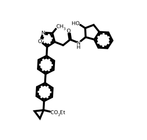 CCOC(=O)C1(c2ccc(-c3ccc(-c4onc(C)c4CC(=O)NC4c5ccccc5CC4O)cc3)cc2)CC1